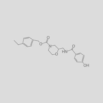 CCc1ccc(COC(=O)N2CCOC(CNC(=O)c3ccc(O)cc3)C2)cc1